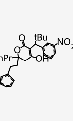 CCCC1(CCc2ccccc2)CC(O)=C(C(c2cccc([N+](=O)[O-])c2)C(C)(C)C)C(=O)O1